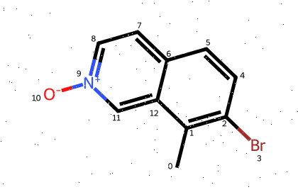 Cc1c(Br)ccc2cc[n+]([O-])cc12